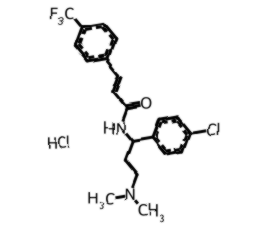 CN(C)CCC(NC(=O)C=Cc1ccc(C(F)(F)F)cc1)c1ccc(Cl)cc1.Cl